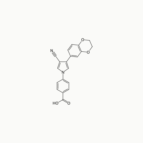 N#Cc1cn(-c2ccc(C(=O)O)cc2)cc1-c1ccc2c(c1)OCCO2